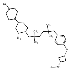 C[C@@H]1CC(N2CCN(C(C)(C)C)CC2)CCN1CC(C)(C)CCC(C)(C)Cc1ccc(O[C@H]2C[C@@H](NC(C)(C)C)C2)cc1